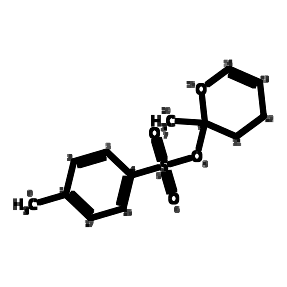 Cc1ccc(S(=O)(=O)OC2(C)CCC=CO2)cc1